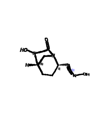 O=C1N(O)[C@H]2CC[C@@H](/C=N/O)N1C2